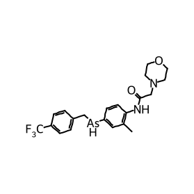 Cc1cc([AsH]Cc2ccc(C(F)(F)F)cc2)ccc1NC(=O)CN1CCOCC1